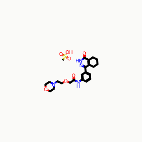 CS(=O)(=O)O.O=C(COCCN1CCOCC1)Nc1cccc(-c2n[nH]c(=O)c3c2CCCC3)c1